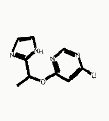 CC(Oc1cc(Cl)ncn1)c1ncc[nH]1